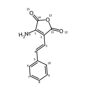 NC1=C(C=Cc2ccccc2)C(=O)OC1=O